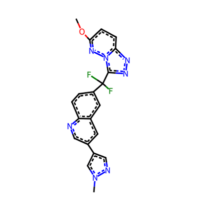 COc1ccc2nnc(C(F)(F)c3ccc4ncc(-c5cnn(C)c5)cc4c3)n2n1